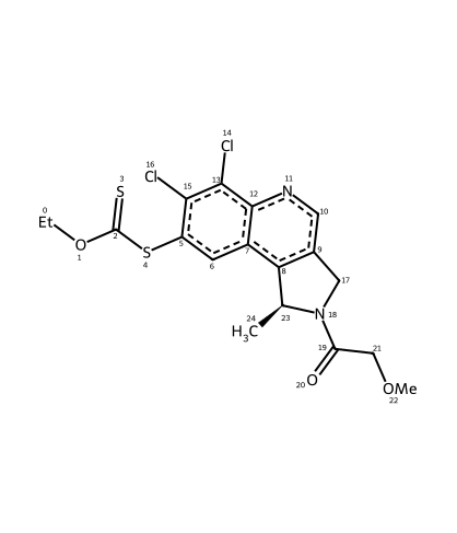 CCOC(=S)Sc1cc2c3c(cnc2c(Cl)c1Cl)CN(C(=O)COC)[C@H]3C